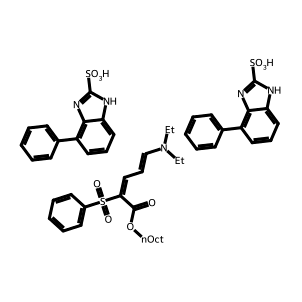 CCCCCCCCOC(=O)C(=CC=CN(CC)CC)S(=O)(=O)c1ccccc1.O=S(=O)(O)c1nc2c(-c3ccccc3)cccc2[nH]1.O=S(=O)(O)c1nc2c(-c3ccccc3)cccc2[nH]1